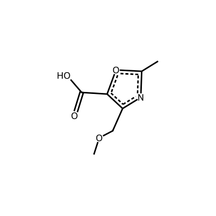 COCc1nc(C)oc1C(=O)O